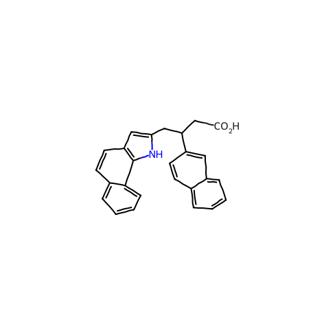 O=C(O)CC(Cc1cc2ccc3ccccc3c2[nH]1)c1ccc2ccccc2c1